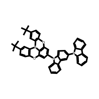 CC(C)(C)c1ccc2c(c1)B1c3cc(C(C)(C)C)ccc3Oc3cc(-n4c5ccccc5c5cc(-n6c7ccccc7c7ccccc76)ccc54)cc(c31)O2